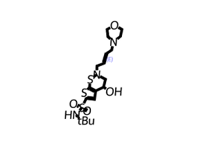 CC(C)(C)NS(=O)(=O)c1cc2c(s1)SN(C/C=C/CN1CCOCC1)CC2O